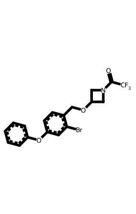 O=C(N1CC(OCc2ccc(Oc3ccccc3)cc2Br)C1)C(F)(F)F